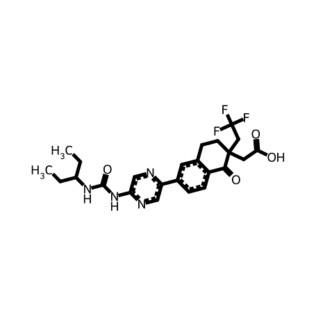 CCC(CC)NC(=O)Nc1cnc(-c2ccc3c(c2)CCC(CC(=O)O)(CC(F)(F)F)C3=O)cn1